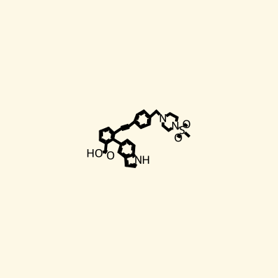 CS(=O)(=O)N1CCN(Cc2ccc(C#Cc3cccc(C(=O)O)c3-c3ccc4[nH]ccc4c3)cc2)CC1